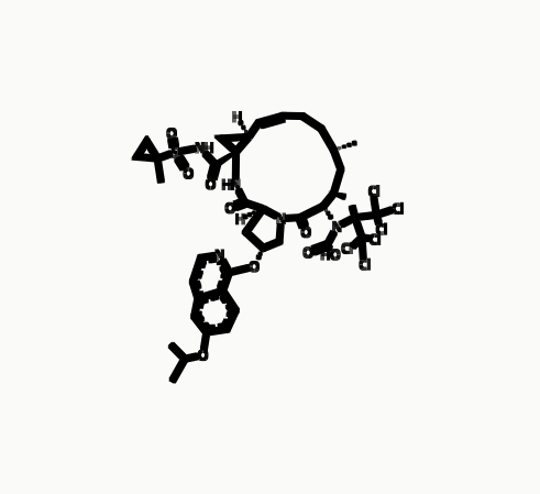 CC(C)Oc1ccc2c(O[C@@H]3C[C@H]4C(=O)N[C@]5(C(=O)NS(=O)(=O)C6(C)CC6)C[C@H]5C=CCC[C@H](C)C[C@@H](C)[C@H](N(C(=O)O)C(C)(C(Cl)(Cl)Cl)C(Cl)(Cl)Cl)C(=O)N4C3)nccc2c1